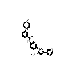 CC(=O)N1CCN(c2cccc(C(=O)Nc3ccc(-n4nc(-c5cccnc5)cc4C(F)(F)F)cn3)c2)CC1